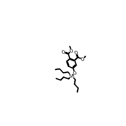 CCC[CH2][Sn]([CH2]CCC)([CH2]CCC)[O]c1ccc(C(=O)OC)c(C(=O)OC)c1